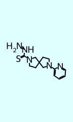 NNC(=S)N1CCC2(CCN(c3ccccn3)C2)C1